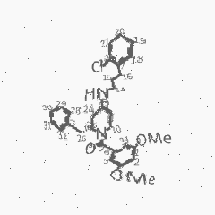 COc1cc(OC)cc(C(=O)N2CC[C@H](NCCCc3ccccc3Cl)C[C@H]2Cc2ccccc2)c1